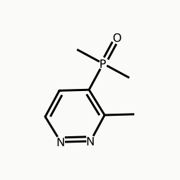 Cc1nnccc1P(C)(C)=O